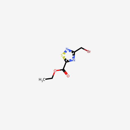 CCOC(=O)c1nc(CBr)ns1